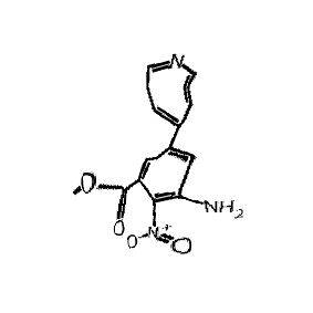 COC(=O)c1cc(-c2ccncc2)cc(N)c1[N+](=O)[O-]